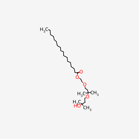 CCCCCCCCCCCCCCCCCC(=O)OCCOCCC(C)(C)OCCC(C)(C)O